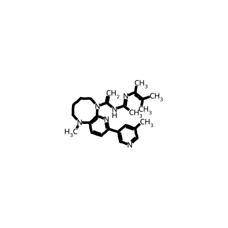 C=C(N/C(C)=N/C(C)=C(C)C)N1CCCCN(C)c2ccc(-c3cncc(C)c3)nc21